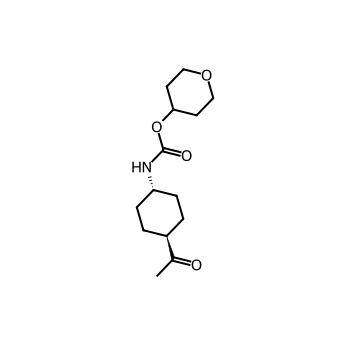 CC(=O)[C@H]1CC[C@H](NC(=O)OC2CCOCC2)CC1